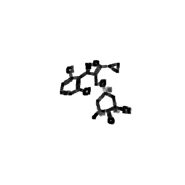 CC[C@@H]1C[C@@H](OCc2c(-c3c(Cl)cccc3Cl)noc2C2CC2)C[C@H](C)C1=O